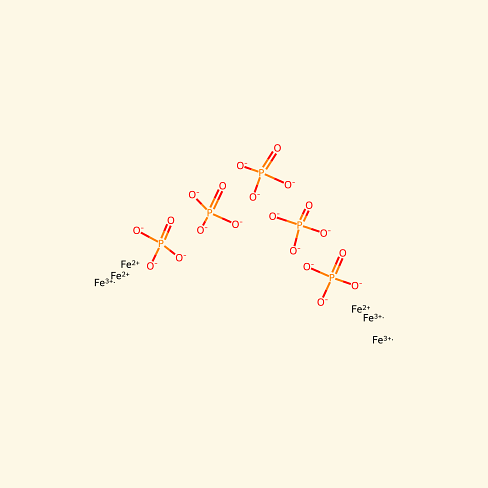 O=P([O-])([O-])[O-].O=P([O-])([O-])[O-].O=P([O-])([O-])[O-].O=P([O-])([O-])[O-].O=P([O-])([O-])[O-].[Fe+2].[Fe+2].[Fe+2].[Fe+3].[Fe+3].[Fe+3]